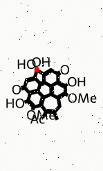 COc1c(O)c2c(=O)cc(CO)c3c4c(CO)cc(=O)c5c(O)c(OC)c6c(c(c1CC(C)=C6C(C)=O)c23)c54